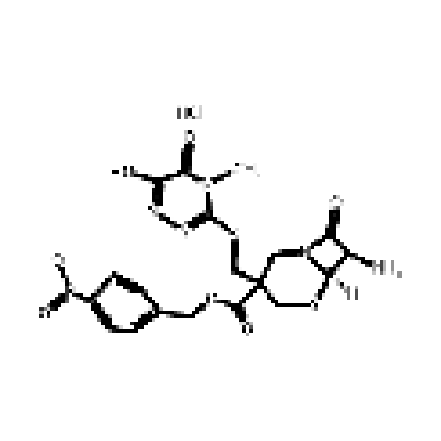 Cl.Cn1c(SCC2(C(=O)OCc3ccc([N+](=O)[O-])cc3)CS[C@@H]3C(N)C(=O)N3C2)nnc(O)c1=O